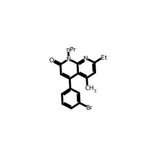 CCCn1c(=O)cc(-c2cccc(Br)c2)c2c(C)cc(CC)nc21